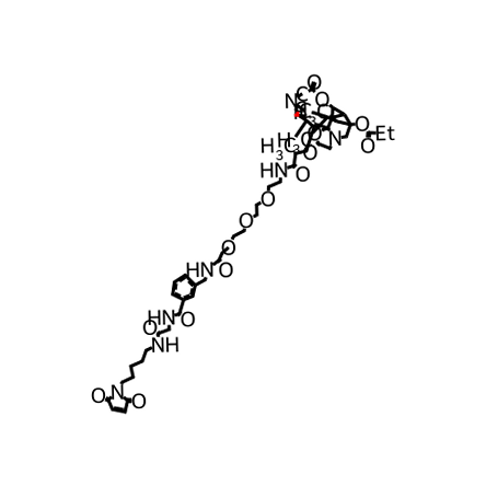 CCC(=O)OC12CN3CC(=O)OC34CC(CCC(=O)NCCOCCOCCOCC(=O)NCc3cccc(C(=O)NCC(=O)NCCCCCN5C(=O)C=CC5=O)c3)C(C)CCN(CCC(C)C1C)CC(=O)OC1C2C14